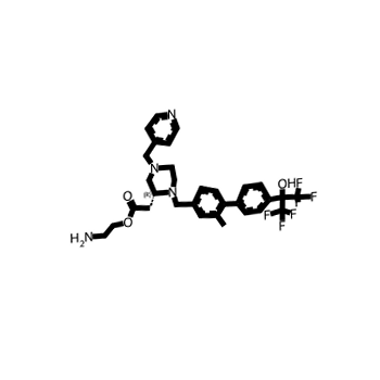 Cc1cc(CN2CCN(Cc3ccncc3)C[C@H]2CC(=O)OCCN)ccc1-c1ccc(C(O)(C(F)(F)F)C(F)(F)F)cc1